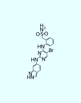 NS(=O)(=O)Cc1ccccc1Nc1nc(Nc2ccc3c[nH]nc3c2)ncc1Br